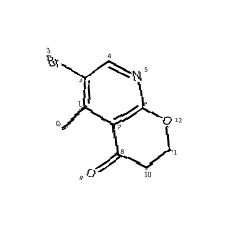 Cc1c(Br)cnc2c1C(=O)CCO2